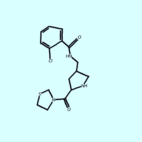 O=C(NCC1CNC(C(=O)N2CCSC2)C1)c1ccccc1Cl